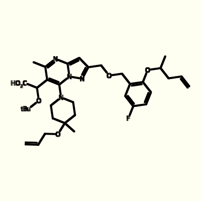 C=CCOC1(C)CCN(c2c(C(OC(C)(C)C)C(=O)O)c(C)nc3cc(COCc4cc(F)ccc4OC(C)CC=C)nn23)CC1